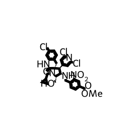 COC(=O)c1ccc(CN[C@@H]2[C@H](CO)N(CC3CC3)[C@]3(Cc4ccc(Cl)cc4NC3=O)[C@H]2c2cc(Cl)nc(Cl)c2)c([N+](=O)[O-])c1